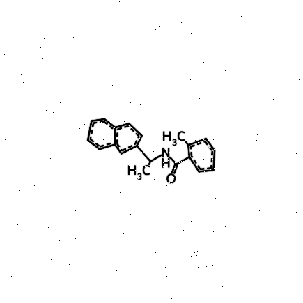 Cc1ccccc1C(=O)NC(C)c1ccc2ccccc2c1